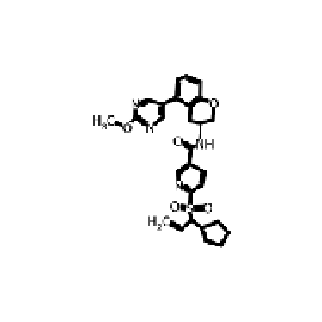 C=CC(C1CCCC1)S(=O)(=O)c1ccc(C(=O)N[C@@H]2COc3cccc(-c4cnc(OC)nc4)c3C2)cn1